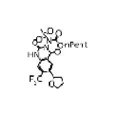 CCCCCOC(=O)N(n1c(=O)[nH]c2cc(C(F)(F)F)c(C3CCCO3)cc2c1=O)S(C)(=O)=O